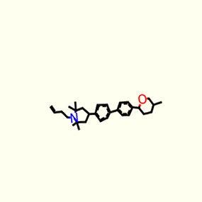 C=CCCN1C(C)(C)CC(c2ccc(-c3ccc(C4CCC(C)CO4)cc3)cc2)CC1(C)C